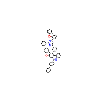 c1ccc(-c2ccc(-c3nc4ccccc4c4c(-c5cccc(-c6cc(-c7cccc8c7oc7ccccc78)nc(-c7ccccc7)n6)c5)c5c(cc34)oc3ccccc35)cc2)cc1